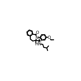 CCOc1ccc(N2C(=O)c3ccccc3CCC2(C)C(=O)NCCC(C)C)cc1